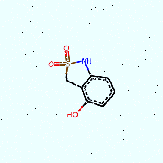 O=S1(=O)Cc2c(O)cccc2N1